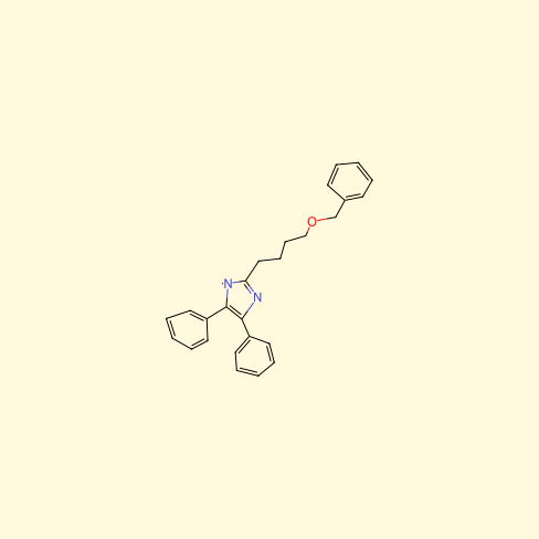 c1ccc(COCCCCC2=NC(c3ccccc3)=C(c3ccccc3)[N]2)cc1